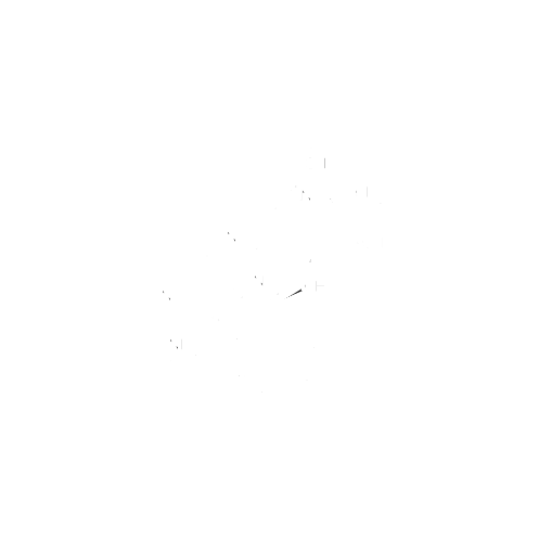 C=C1C(C)=CC(c2nc3cnc(N)cc3n2[C@@H](C)c2ccccc2)=CN1C